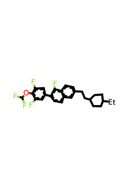 CCC1CCC(CCc2ccc3c(F)c(-c4cc(F)c(OC(F)F)c(F)c4)ccc3c2)CC1